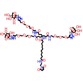 O=C(CCCCCCCCCCC(=O)NC(CCC(=O)NCCOCCOCCOCc1cn([C@H]2[C@@H]3OC[C@](CO)(O3)[C@H](O)[C@@H]2O)nn1)(CCC(=O)NCCOCCOCCOCc1cn([C@H]2[C@@H]3OC[C@](CO)(O3)[C@H](O)[C@@H]2O)nn1)CCC(=O)NCCOCCOCCOCc1cn([C@H]2[C@H]3OC[C@](CO)(O3)[C@H](O)[C@@H]2O)nn1)NCCN1C(=O)C=CC1=O